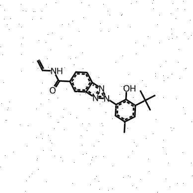 C=CNC(=O)c1ccc2c(c1)n1n(-c3cc(C)cc(C(C)(C)C)c3O)n21